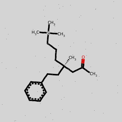 CC(=O)C[C@](C)(CCC[Si](C)(C)C)CCc1ccccc1